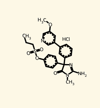 CCCS(=O)(=O)Oc1ccc(C2(c3cccc(-c4cncc(OC)c4)c3)N=C(N)N(C)C2=O)cc1.Cl